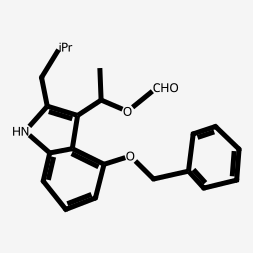 CC(C)Cc1[nH]c2cccc(OCc3ccccc3)c2c1C(C)OC=O